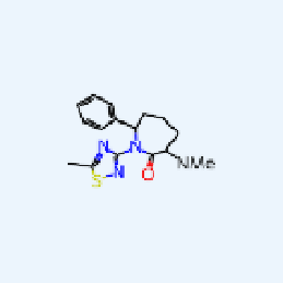 CNC1CCCC(c2ccccc2)N(c2nsc(C)n2)C1=O